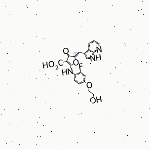 O=C(O)C1=C(Nc2ccc(OCCO)cc2F)O/C(=C\c2c[nH]c3ncccc23)C1=O